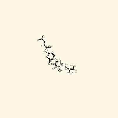 CC(C)COC(=O)Nc1ccn([C@@H]2O[C@H](CO[Si](C)(C)C(C)(C)C)[C@@H](O)C2(F)F)c(=O)n1